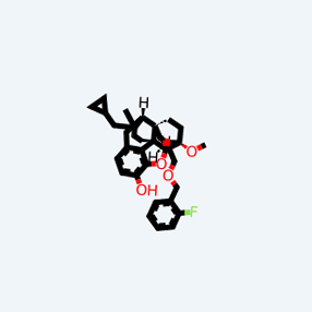 CO[C@]12CC[C@@]3(C[C@@H]1COCc1ccccc1F)[C@H]1Cc4ccc(O)c5c4[C@@]3(CCC1(C)CC1CC1)[C@H]2O5